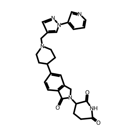 O=C1CCC(N2Cc3cc(C4CCN(Cc5cnn(-c6cccnc6)c5)CC4)ccc3C2=O)C(=O)N1